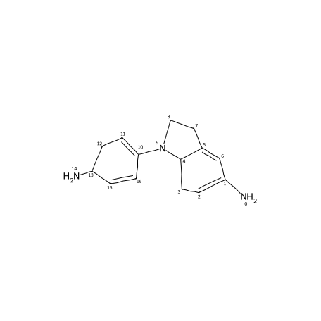 NC1=CCC2C(=C1)CCN2C1=CCC(N)C=C1